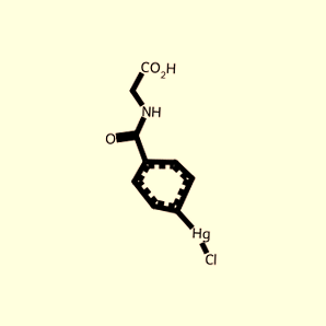 O=C(O)CNC(=O)c1cc[c]([Hg][Cl])cc1